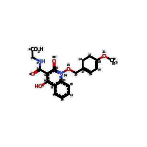 O=C(O)CNC(=O)c1c(O)c2ccccc2n(OCC2=CC=C(OC(F)(F)F)CC2)c1=O